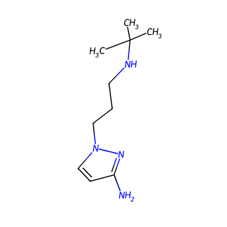 CC(C)(C)NCCCn1ccc(N)n1